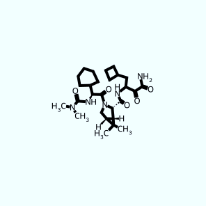 CN(C)C(=O)N[C@H](C(=O)N1C[C@@H]2[C@H]([C@H]1C(=O)NC(CC1CCC1)C(=O)C(N)=O)C2(C)C)C1CCCCC1